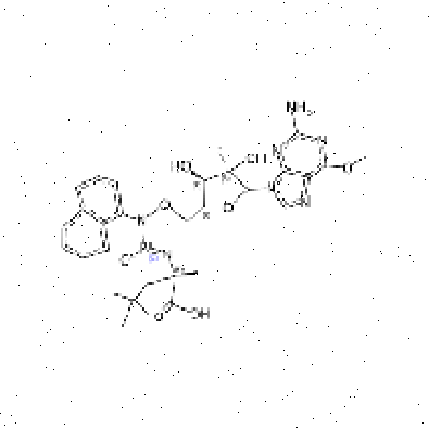 COc1nc(N)nc2c1ncn2C1O[C@H](CON(c2cccc3ccccc23)/[P+]([O-])=N/[C@@](C)(CC(C)(C)C)C(=O)O)[C@@H](O)[C@@]1(C)O